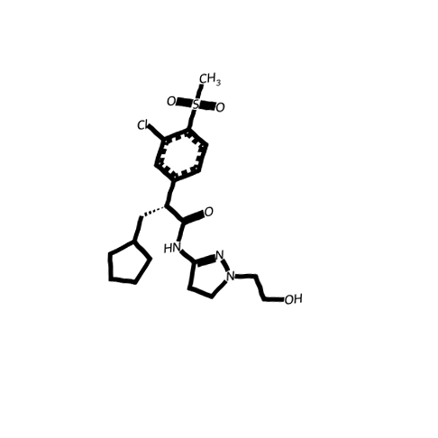 CS(=O)(=O)c1ccc([C@@H](CC2CCCC2)C(=O)NC2=NN(CCO)CC2)cc1Cl